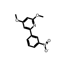 COc1cc(OC)nc(-c2cccc([N+](=O)[O-])c2)c1